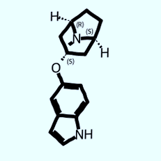 CN1[C@@H]2CC[C@H]1C[C@H](Oc1ccc3[nH]ccc3c1)C2